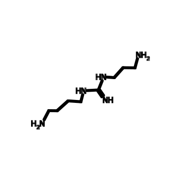 N=C(NCCCN)NCCCCN